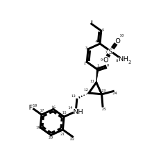 C=C(/C=C\C(=C/C)S(N)(=O)=O)[C@@H]1[C@@H](CNc2cc(F)ccc2C)C1(C)C